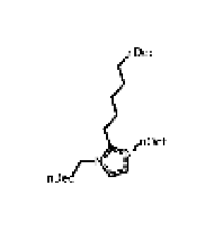 CCCCCCCCCCCCCCCc1n(CCCCCCCCCCC)cc[n+]1CCCCCCCC